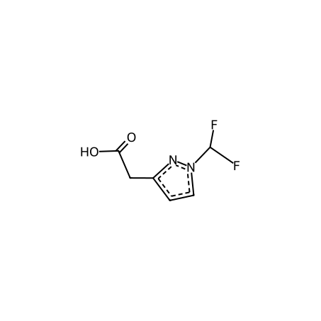 O=C(O)Cc1ccn(C(F)F)n1